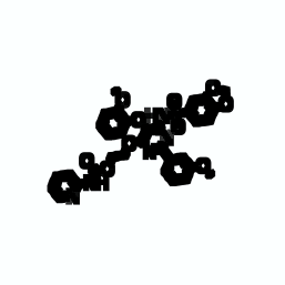 COc1cccc(-c2nc(NS(=O)(=O)c3ccc4c(c3)OCO4)c(Oc3ccccc3OC)c(OCCOC(=O)Nc3ccccn3)n2)c1